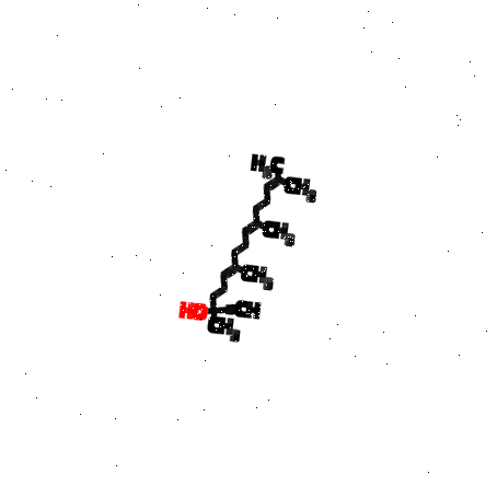 C#CC(C)(O)CC/C=C(\C)CC/C=C(\C)CCC=C(C)C